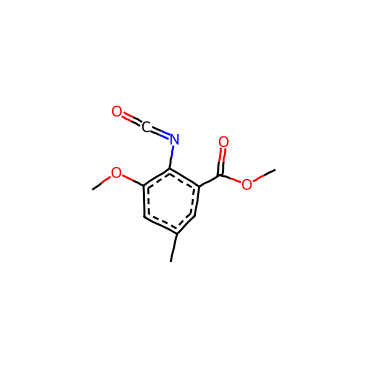 COC(=O)c1cc(C)cc(OC)c1N=C=O